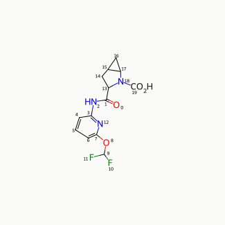 O=C(Nc1cccc(OC(F)F)n1)C1CC2CC2N1C(=O)O